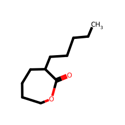 CCCCCC1CCCCOC1=O